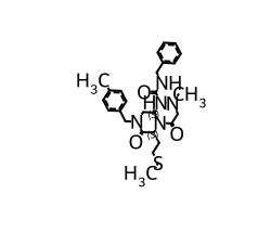 CSCC[C@H]1C(=O)N(Cc2ccc(C)cc2)C[C@H]2N1C(=O)CN(C)N2C(=O)NCc1ccccc1